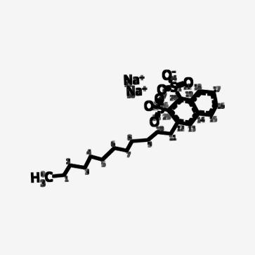 CCCCCCCCCCCCc1cc2ccccc2c(S(=O)(=O)[O-])c1S(=O)(=O)[O-].[Na+].[Na+]